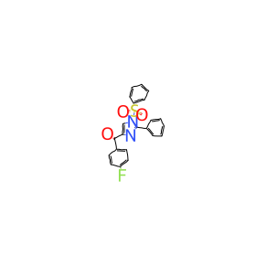 O=C(c1ccc(F)cc1)c1cn(S(=O)(=O)c2ccccc2)c(-c2ccccc2)n1